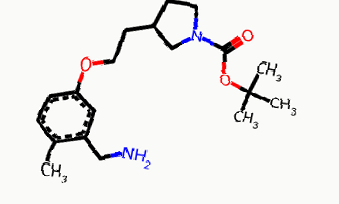 Cc1ccc(OCCC2CCN(C(=O)OC(C)(C)C)C2)cc1CN